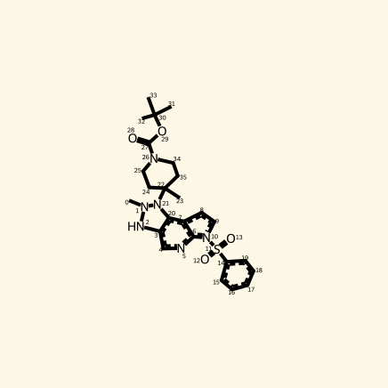 CN1Nc2cnc3c(ccn3S(=O)(=O)c3ccccc3)c2N1C1(C)CCN(C(=O)OC(C)(C)C)CC1